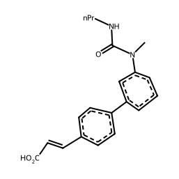 CCCNC(=O)N(C)c1cccc(-c2ccc(C=CC(=O)O)cc2)c1